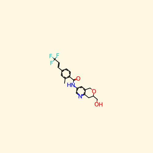 Cc1cc(C=CC(F)(F)F)ccc1C(=O)Nc1cnc2c(c1)COC(CO)C2